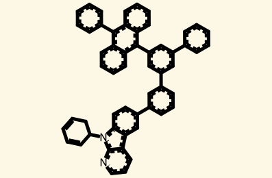 C1=CCC(n2c3ccc(-c4cccc(-c5cc(-c6ccccc6)cc(-c6c7ccccc7c(-c7ccccc7)c7ccccc67)c5)c4)cc3c3cccnc32)C=C1